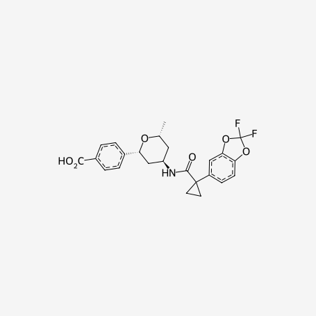 C[C@@H]1C[C@@H](NC(=O)C2(c3ccc4c(c3)OC(F)(F)O4)CC2)C[C@H](c2ccc(C(=O)O)cc2)O1